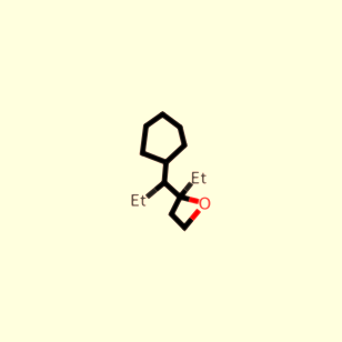 CCC(C1CCCCC1)C1(CC)CCO1